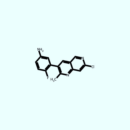 Cc1nc2cc(Cl)ncc2cc1-c1cc(N)ccc1F